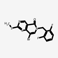 CSc1ncc2c(=O)n(Cc3c(F)cccc3F)cc(Br)c2n1